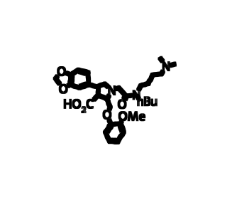 CCCCN(CCCCN(C)C)C(=O)CN1CC(c2ccc3c(c2)OCO3)C(C(=O)O)C1COc1ccccc1OC